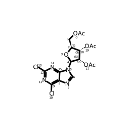 CC(=O)OC[C@@H]1OC(n2cnc3c(Cl)nc(Cl)nc32)[C@@H](OC(C)=O)[C@H]1OC(C)=O